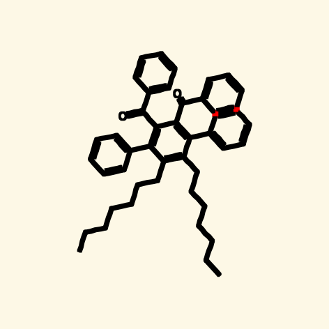 CCCCCCCc1c(CCCCCCC)c(-c2ccccc2)c(C(=O)c2ccccc2)c(C(=O)c2ccccc2)c1-c1ccccc1